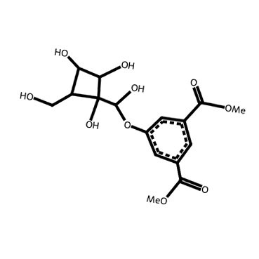 COC(=O)c1cc(OC(O)C2(O)C(O)C(O)C2CO)cc(C(=O)OC)c1